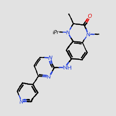 CC(C)N1c2cc(Nc3nccc(-c4ccncc4)n3)ccc2N(C)C(=O)C1C